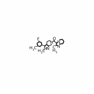 Cc1cc(F)cc(-c2c3c(nn2C)CN(C(=O)c2c(C)nc4ccccn24)CC3)c1